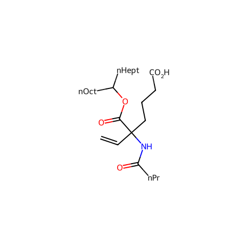 C=CC(CCCC(=O)O)(NC(=O)CCC)C(=O)OC(CCCCCCC)CCCCCCCC